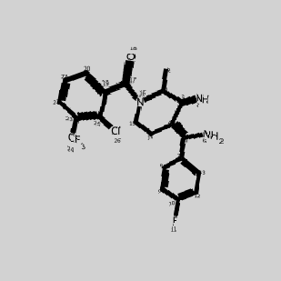 CC1C(=N)/C(=C(\N)c2ccc(F)cc2)CCN1C(=O)c1cccc(C(F)(F)F)c1Cl